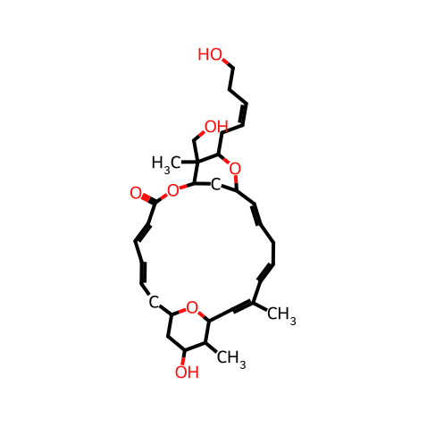 CC1=C\C2OC(C/C=C/C=C/C(=O)OC3CC(/C=C/C\C=C\1)OC(C/C=C\CCO)C3(C)CO)CC(O)C2C